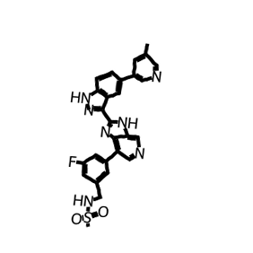 Cc1cncc(-c2ccc3[nH]nc(-c4nc5c(-c6cc(F)cc(CNS(C)(=O)=O)c6)cncc5[nH]4)c3c2)c1